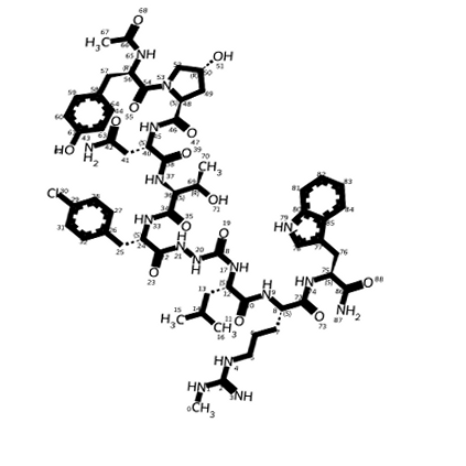 CNC(=N)NCCC[C@H](NC(=O)[C@H](CC(C)C)NC(=O)NNC(=O)[C@H](Cc1ccc(Cl)cc1)NC(=O)[C@@H](NC(=O)[C@H](CC(N)=O)NC(=O)[C@@H]1C[C@@H](O)CN1C(=O)[C@@H](Cc1ccc(O)cc1)NC(C)=O)[C@@H](C)O)C(=O)N[C@@H](Cc1c[nH]c2ccccc12)C(N)=O